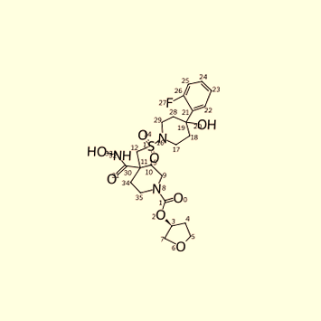 O=C(O[C@H]1CCOC1)N1CCC(CS(=O)(=O)N2CCC(O)(c3ccccc3F)CC2)(C(=O)NO)CC1